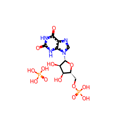 O=P(O)(O)O.O=c1[nH]c(=O)c2ncn([C@@H]3O[C@H](COP(=O)(O)O)[C@@H](O)[C@H]3O)c2[nH]1